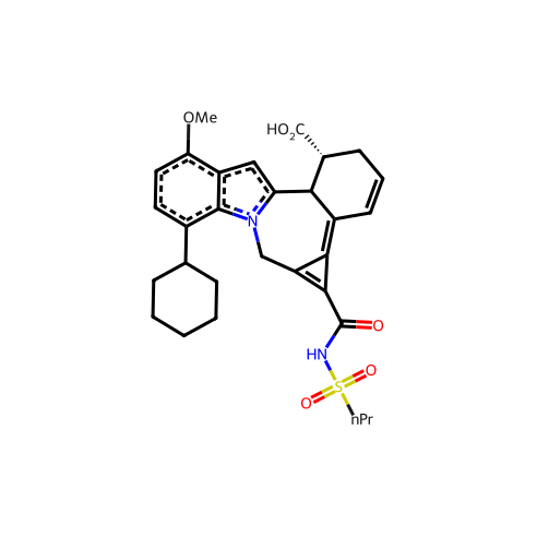 CCCS(=O)(=O)NC(=O)C1=C2Cn3c(cc4c(OC)ccc(C5CCCCC5)c43)C3C(=C21)C=CC[C@H]3C(=O)O